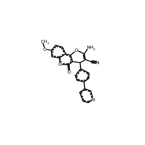 COc1ccc2c3c(c(=O)oc2c1)C(c1ccc(-c2cccnc2)cc1)C(C#N)=C(N)O3